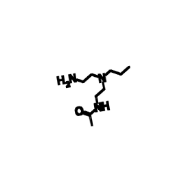 CCCN(CCN)CCNC(C)=O